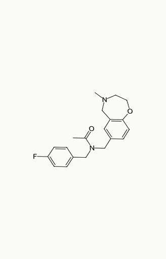 CC(=O)N(Cc1ccc(F)cc1)Cc1ccc2c(c1)CN(C)CCO2